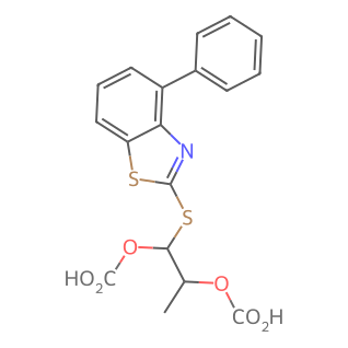 CC(OC(=O)O)C(OC(=O)O)Sc1nc2c(-c3ccccc3)cccc2s1